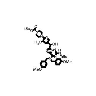 CCCCNc1nc(N(Cc2ccc(OC)cc2)Cc2ccc(OC)cc2)c2ncc(C(O)c3cnc(N4CCN(C(=O)OC(C)(C)C)CC4)c(C)c3)n2n1